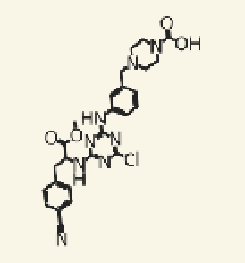 COC(=O)C(Cc1ccc(C#N)cc1)Nc1nc(Cl)nc(Nc2cccc(CN3CCN(C(=O)O)CC3)c2)n1